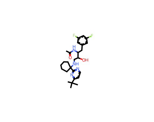 CC(=O)NC(Cc1cc(F)cc(F)c1)C(O)CNC1(c2nccc(C(C)(C)C)n2)CCCCC1